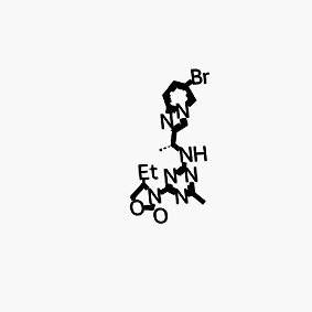 CC[C@H]1COC(=O)N1c1nc(C)nc(N[C@H](C)c2cn3cc(Br)ccc3n2)n1